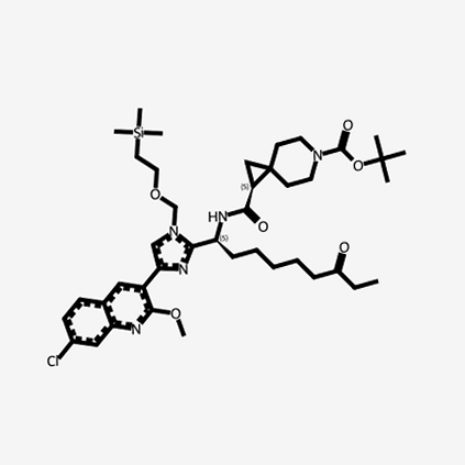 CCC(=O)CCCCC[C@H](NC(=O)[C@H]1CC12CCN(C(=O)OC(C)(C)C)CC2)c1nc(-c2cc3ccc(Cl)cc3nc2OC)cn1COCC[Si](C)(C)C